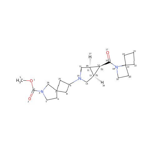 COC(=O)N1CCC2(CC(N3C[C@@H]4[C@H](C3)[C@@H]4C(=O)N3CCC34CCC4)C2)C1